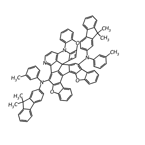 Cc1cccc(N(c2ccc3c(c2)C(C)(C)c2ccccc2-3)c2c3c4c(c5c2oc2ccccc25)-c2c(cc(N(c5cccc(C)c5)c5ccc6c(c5)C(C)(C)c5ccccc5-6)c5c2oc2ccccc25)C42c4cccc5c4N(c4ccccc4O5)c4ccnc-3c42)c1